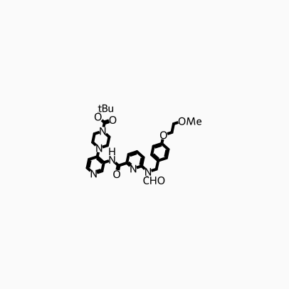 COCCOc1ccc(CN(C=O)c2cccc(C(=O)Nc3cnccc3N3CCN(C(=O)OC(C)(C)C)CC3)n2)cc1